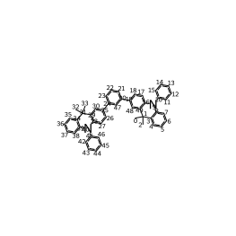 CC1(C)c2ccccc2N(c2ccccc2)c2ccc(-c3cccc(-c4ccc5c(c4)C(C)(C)c4ccccc4N5c4ccccc4)c3)cc21